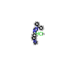 C1=C(CN2CCN(C(c3ccccc3)c3ccccc3)CC2)CCc2cc(N3CCCC3)ccc21.Cl